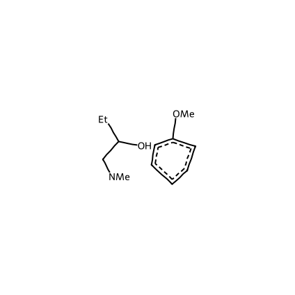 CCC(O)CNC.COc1ccccc1